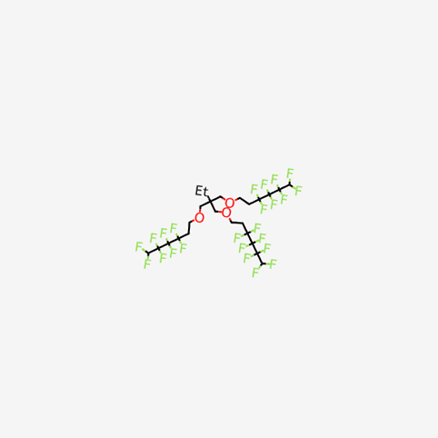 CCC(COCCC(F)(F)C(F)(F)C(F)(F)C(F)F)(COCCC(F)(F)C(F)(F)C(F)(F)C(F)F)COCCC(F)(F)C(F)(F)C(F)(F)C(F)F